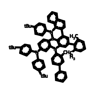 Cc1cc(-c2ccccc2)ccc1N1c2cc(N(c3ccc(C(C)(C)C)cc3)c3ccc(C(C)(C)C)cc3)ccc2B2c3c(cc(-c4c(C)cccc4C)cc31)-c1ccc3ccccc3c1N2c1ccc(C(C)(C)C)cc1